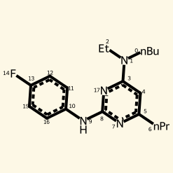 CCCCN(CC)c1cc(CCC)nc(Nc2ccc(F)cc2)n1